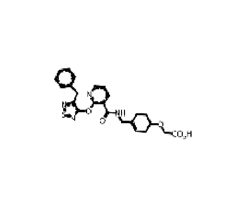 O=C(O)COC1CC=C(CNC(=O)c2cccnc2Oc2nsnc2Cc2ccccc2)CC1